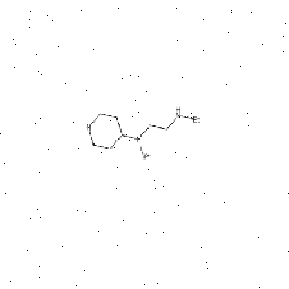 CCNCCN(C(C)C)C1CC[N]CC1